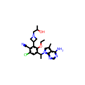 CCOc1c(C(C)n2cc(C)c3c(N)ncnc32)cc(Cl)c(C#N)c1C1CN(CC(C)O)C1